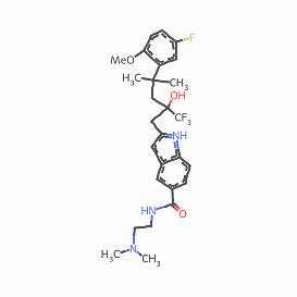 COc1ccc(F)cc1C(C)(C)CC(O)(Cc1cc2cc(C(=O)NCCN(C)C)ccc2[nH]1)C(F)(F)F